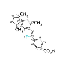 Cc1cc2c(cc1C=C(F)c1ccc(C(=O)O)cc1)C1(C)CCC2(C)C1